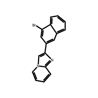 Brc1cc(-c2cn3ccccc3n2)cc2ccccc12